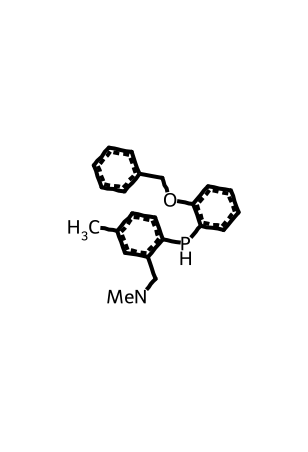 CNCc1cc(C)ccc1Pc1ccccc1OCc1ccccc1